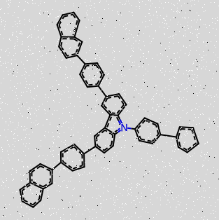 c1ccc(-c2ccc(-n3c4ccc(-c5ccc(-c6ccc7ccccc7c6)cc5)cc4c4cc(-c5ccc(-c6ccc7ccccc7c6)cc5)ccc43)cc2)cc1